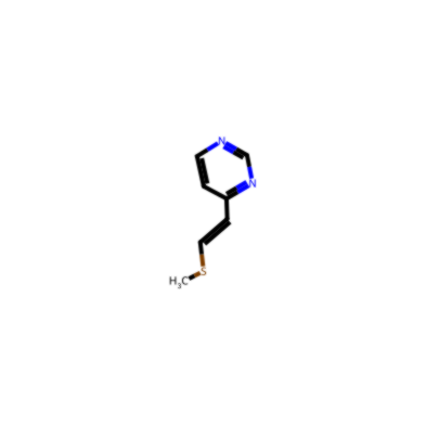 CSC=Cc1ccncn1